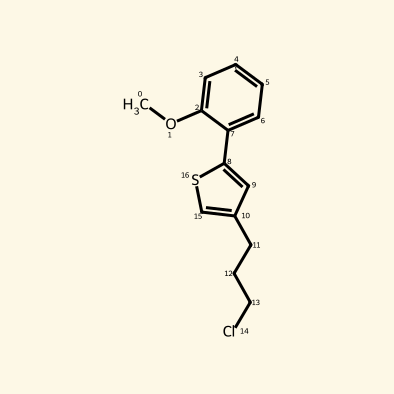 COc1c[c]ccc1-c1cc(CCCCl)cs1